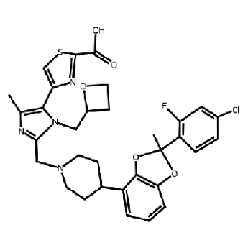 Cc1nc(CN2CCC(c3cccc4c3OC(C)(c3ccc(Cl)cc3F)O4)CC2)n(CC2CCO2)c1-c1csc(C(=O)O)n1